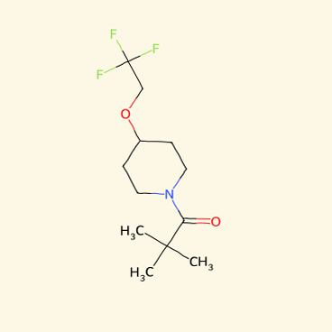 CC(C)(C)C(=O)N1CCC(OCC(F)(F)F)CC1